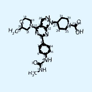 CNC(=O)Nc1ccc(-c2nc(N3CCOC(C)C3)c3cnn(C4CCN(C(=O)O)CC4)c3n2)cc1